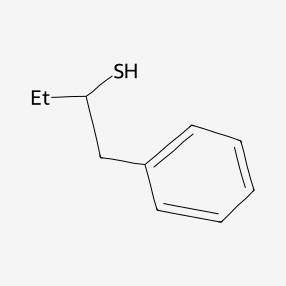 CCC(S)Cc1ccccc1